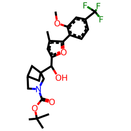 COc1cc(C(F)(F)F)ccc1-c1oc(C(O)C23CC(CN(C(=O)OC(C)(C)C)C2)C3)cc1C